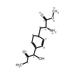 CCC(=O)C(O)C1=CCC(C[C@H](N)C(=O)OC)C=C1